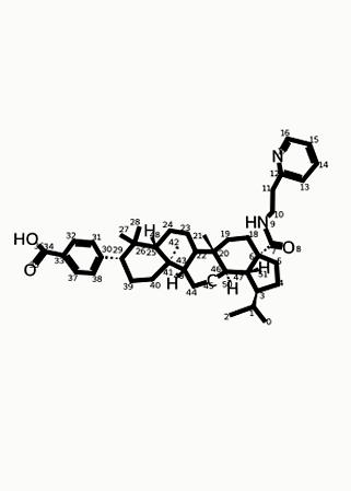 CC(C)[C@@H]1CC[C@]2(C(=O)NCCc3ccccn3)CC[C@@]3(C)C4CC[C@H]5C(C)(C)[C@@H](c6ccc(C(=O)O)cc6)CC[C@]5(C)[C@H]4CC[C@@H]3[C@@H]12